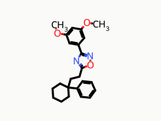 COc1cc(OC)cc(-c2noc(CCC3(c4ccccc4)CCCCC3)n2)c1